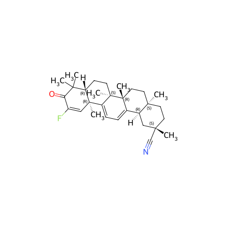 CC1(C)C(=O)C(F)=C[C@]2(C)C3=CC=C4[C@@H]5C[C@@](C)(C#N)CC[C@]5(C)CC[C@@]4(C)[C@]3(C)CC[C@@H]12